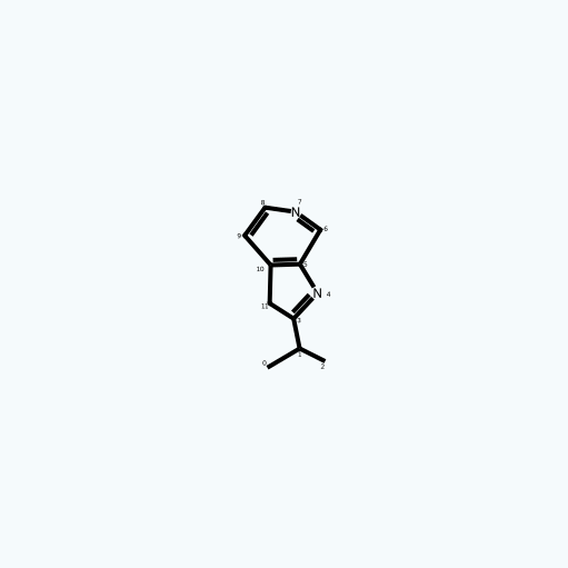 CC(C)C1=Nc2cnccc2C1